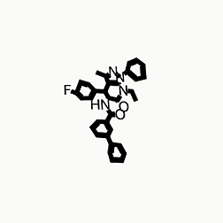 CCN1C(=O)C(NC(=O)c2cccc(-c3ccccc3)c2)C(c2ccc(F)cc2)c2c(C)nn(-c3ccccc3)c21